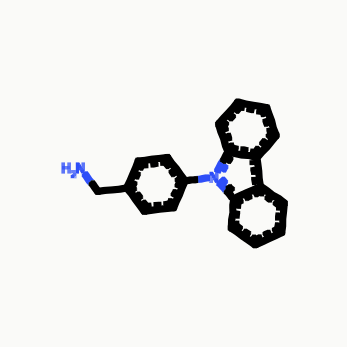 NCc1ccc(-n2c3ccccc3c3ccccc32)cc1